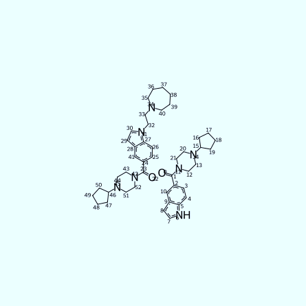 O=C(c1ccc2[nH]ccc2c1)N1CCN(C2CCCC2)CC1.O=C(c1ccc2c(ccn2CCN2CCCCCC2)c1)N1CCN(C2CCCC2)CC1